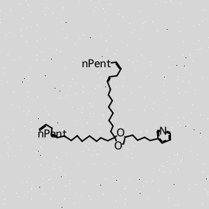 CCCCC/C=C\C/C=C\CCCCCCCCC1(CCCCCCCC/C=C\C/C=C\CCCCC)OCC(CCCCc2cccnc2)O1